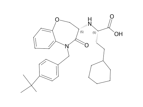 CC(C)(C)c1ccc(CN2C(=O)[C@@H](N[C@@H](CCC3CCCCC3)C(=O)O)COc3ccccc32)cc1